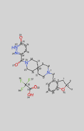 CC1(C)Cc2c(CN3CCC4(CC3)CCN(C(=O)c3ccc(=O)[nH]n3)CC4)cccc2O1.O=C(O)C(F)(F)F